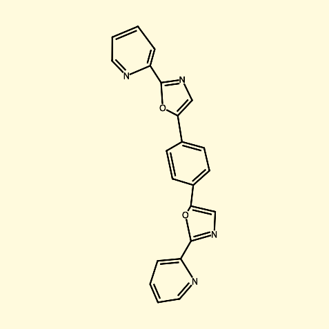 c1ccc(-c2ncc(-c3ccc(-c4cnc(-c5ccccn5)o4)cc3)o2)nc1